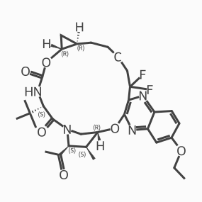 CCOc1ccc2nc3c(nc2c1)O[C@H]1CN(C(=O)[C@H](C(C)(C)C)NC(=O)O[C@@H]2C[C@H]2CCCCC3(F)F)[C@H](C(C)=O)[C@@H]1C